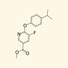 COC(=O)c1cnc(Oc2ccc(C(C)C)cc2)c(F)c1